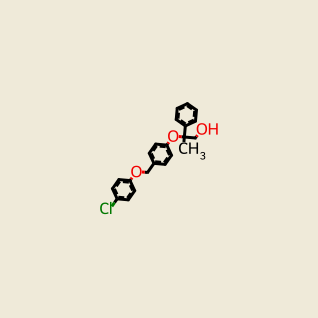 CC(CO)(Oc1ccc(COc2ccc(Cl)cc2)cc1)c1ccccc1